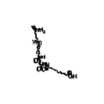 N[C@H](C=O)CCCCNC(=O)COCCOCCNC(=O)CCC(NC(=O)CCCCCCCCCCCCC(=O)O)C(=O)O